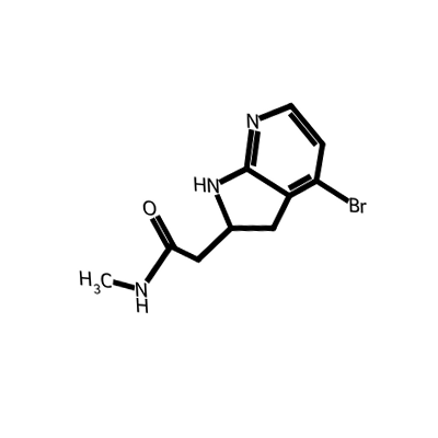 CNC(=O)CC1Cc2c(Br)ccnc2N1